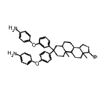 CCCC(C)C1CCC2C3CCC4CC(c5ccc(Oc6ccc(N)cc6)cc5)(c5cccc(Oc6ccc(N)cc6)c5)CCC4(C)C3CCC12C